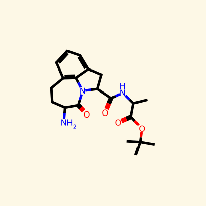 CC(NC(=O)C1Cc2cccc3c2N1C(=O)C(N)CC3)C(=O)OC(C)(C)C